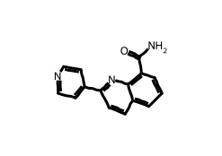 NC(=O)c1cccc2ccc(-c3ccncc3)nc12